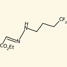 CCOC(=O)C=NNCCCC(F)(F)F